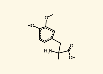 COc1cc(CC(C)(N)C(=O)O)ccc1O